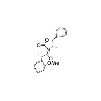 COc1ccccc1[C@H](C)C(=O)N1C(=O)O[C@@H](c2ccccc2)[C@@H]1C